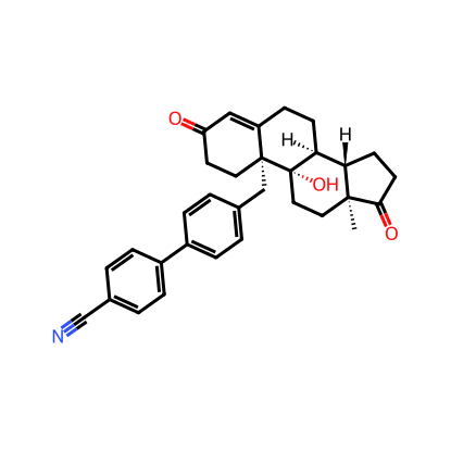 C[C@]12CC[C@]3(O)[C@@H](CCC4=CC(=O)CC[C@@]43Cc3ccc(-c4ccc(C#N)cc4)cc3)[C@@H]1CCC2=O